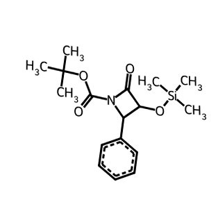 CC(C)(C)OC(=O)N1C(=O)C(O[Si](C)(C)C)C1c1ccccc1